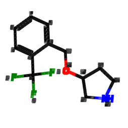 FC(F)(F)c1ccccc1COC1CCNC1